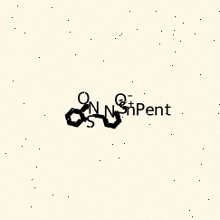 CCCCC[S+]([O-])c1cccc(-c2nc(=O)c3ccccc3s2)n1